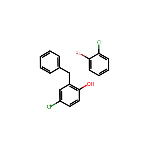 Clc1ccccc1Br.Oc1ccc(Cl)cc1Cc1ccccc1